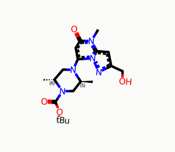 C[C@@H]1CN(c2cc(=O)n(C)c3cc(CO)nn23)[C@@H](C)CN1C(=O)OC(C)(C)C